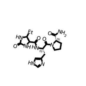 CCC1NC(=O)NC1C(=O)N[C@@H](Cc1c[nH]cn1)C(=O)N1CCC[C@H]1C(N)=O